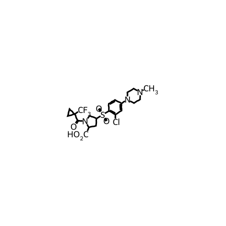 CN1CCN(c2ccc(S(=O)(=O)C3CC(C(=O)O)N(C(=O)C4(C(F)(F)F)CC4)C3)c(Cl)c2)CC1